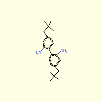 CC(C)(C)Cc1ccc(-c2ccc(CC(C)(C)C)cc2N)c(N)c1